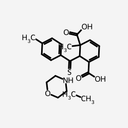 C1COCCN1.CC.Cc1ccc(C(=S)C2C(C(=O)O)=CC=CC2(C)C(=O)O)cc1